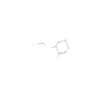 N#CCOc1ccccc1Br